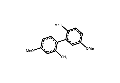 COc1ccc(-c2cc(OC)c[c]c2OC)c(C)c1